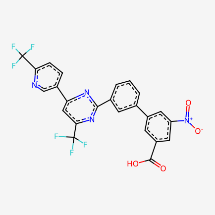 O=C(O)c1cc(-c2cccc(-c3nc(-c4ccc(C(F)(F)F)nc4)cc(C(F)(F)F)n3)c2)cc([N+](=O)[O-])c1